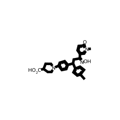 Cc1ccc(C(C/C(=N/O)c2ccc(=O)n(C)c2)c2ccc(N3CCC(C(=O)O)CC3)cc2)cc1